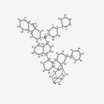 c1ccc(-c2ccc(N(c3ccc4c(c3)sc3ccccc34)c3ccc(-c4cccc5c4-c4ccc(-c6ccccc6)cc4C54C5CC6CC(C5)CC4C6)c4ccccc34)cc2)cc1